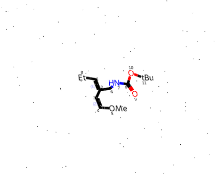 CC/C=C(\C=C/OC)CNC(=O)OC(C)(C)C